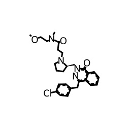 COCCN(C)C(=O)CCN1CCC[C@@H]1Cn1nc(Cc2ccc(Cl)cc2)c2ccccc2c1=O